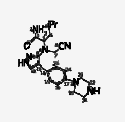 CC(C)CC(C(N)=O)N(CC#N)c1n[nH]cc1-c1ccc(N2CCNCC2)cc1